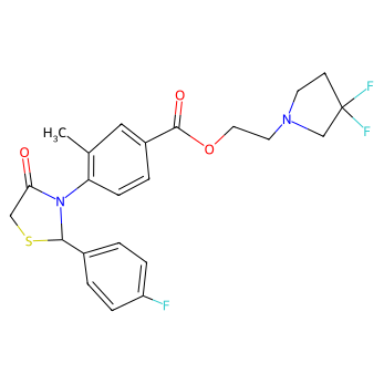 Cc1cc(C(=O)OCCN2CCC(F)(F)C2)ccc1N1C(=O)CSC1c1ccc(F)cc1